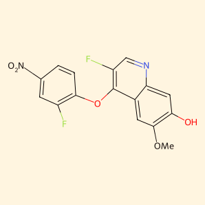 COc1cc2c(Oc3ccc([N+](=O)[O-])cc3F)c(F)cnc2cc1O